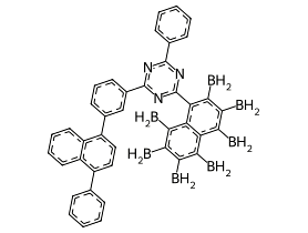 Bc1c(B)c(B)c2c(-c3nc(-c4ccccc4)nc(-c4cccc(-c5ccc(-c6ccccc6)c6ccccc56)c4)n3)c(B)c(B)c(B)c2c1B